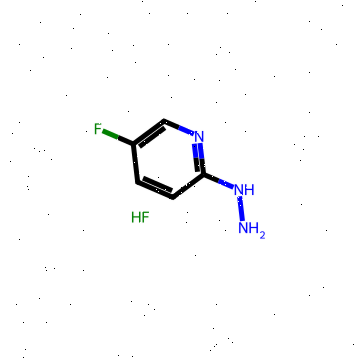 F.NNc1ccc(F)cn1